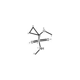 CNS(=O)(=O)C1(OC)CC1